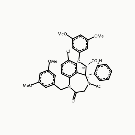 COc1cc(CN2C(=O)CN(C(C)=O)[C@](c3ccccc3)([C@H](Oc3cc(OC)cc(OC)c3)C(=O)O)c3cc(Cl)ccc32)cc(OC)c1